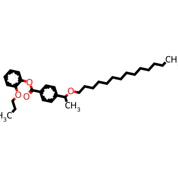 CCCCCCCCCCCCCCOC(C)c1ccc(C(=O)Oc2ccccc2OCCC)cc1